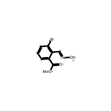 COC(=O)c1cccc(Br)c1C=NO